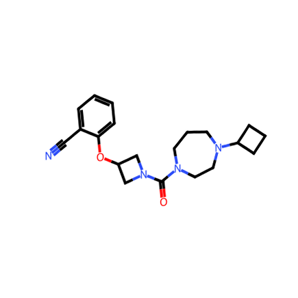 N#Cc1ccccc1OC1CN(C(=O)N2CCCN(C3CCC3)CC2)C1